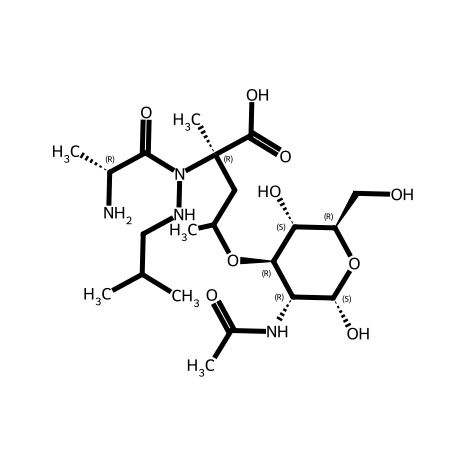 CC(=O)N[C@@H]1[C@@H](OC(C)C[C@](C)(C(=O)O)N(NCC(C)C)C(=O)[C@@H](C)N)[C@H](O)[C@@H](CO)O[C@@H]1O